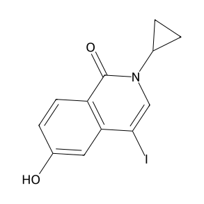 O=c1c2ccc(O)cc2c(I)cn1C1CC1